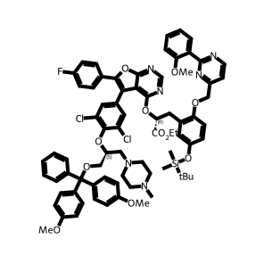 CCOC(=O)[C@@H](Cc1cc(O[Si](C)(C)C(C)(C)C)ccc1OCc1ccnc(-c2ccccc2OC)n1)Oc1ncnc2oc(-c3ccc(F)cc3)c(-c3cc(Cl)c(O[C@H](COC(c4ccccc4)(c4ccc(OC)cc4)c4ccc(OC)cc4)CN4CCN(C)CC4)c(Cl)c3)c12